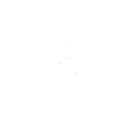 CCCCCCC[PH](CC)(CCCCC)CCCCCCC